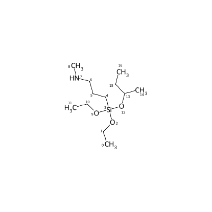 CCO[Si](CCCNC)(OCC)OC(C)CC